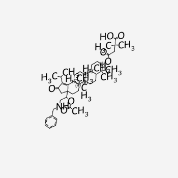 CC(=O)OC(CNCc1ccccc1)C12CC[C@]3(C)[C@H](CC[C@@H]4[C@@]5(C)CC[C@H](OC(=O)CC(C)(C)C(=O)O)C(C)(C)C5CC[C@]43C)C1=C(C(C)C)C(=O)C2